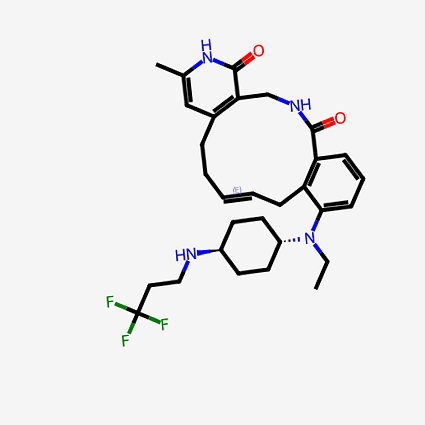 CCN(c1cccc2c1C/C=C/CCc1cc(C)[nH]c(=O)c1CNC2=O)[C@H]1CC[C@H](NCCC(F)(F)F)CC1